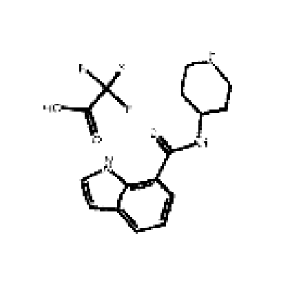 O=C(NC1CCNCC1)c1cccc2cc[nH]c12.O=C(O)C(F)(F)F